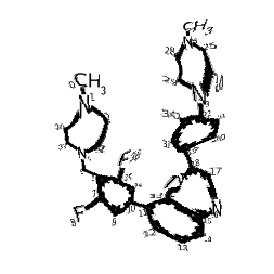 CN1CCN(Cc2c(F)cc(-c3cccc4ncc(-c5ccc(N6CCN(C)CC6)cc5)nc34)cc2F)CC1